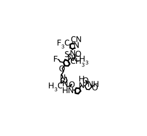 C[C@@H]1CN(CCOc2ccc(N3C(=S)N(c4cnc(C#N)c(C(F)(F)F)c4)C(=O)C3(C)C)cc2CCF)CCN1CC(=O)Nc1cccc(NC2CCC(=O)NC2=O)c1